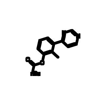 CCCCC(=O)Oc1cccc(-c2ccncn2)c1C